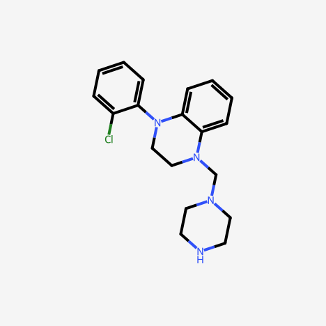 Clc1ccccc1N1CCN(CN2CCNCC2)c2ccccc21